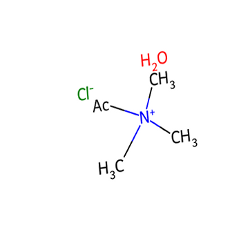 CC(=O)[N+](C)(C)C.O.[Cl-]